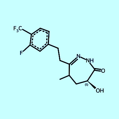 CC1C[C@H](O)C(=O)NN=C1CCc1ccc(C(F)(F)F)c(F)c1